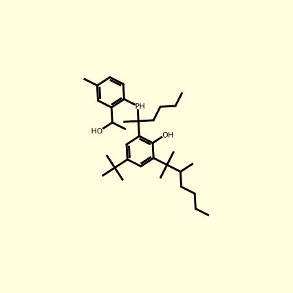 CCCCC(C)C(C)(C)c1cc(C(C)(C)C)cc(C(C)(CCCC)Pc2ccc(C)cc2C(C)O)c1O